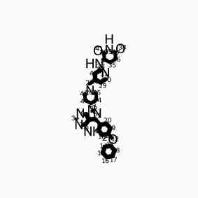 Nc1ncnc2c1c(-c1ccc(Oc3ccccc3)cc1)nn2C1CCN(Cc2ccnc(NC3CCC(=O)NC3=O)c2)CC1